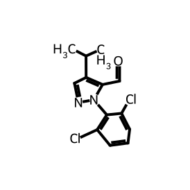 CC(C)c1cnn(-c2c(Cl)cccc2Cl)c1C=O